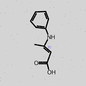 C/C(=C\C(=O)O)Nc1ccccc1